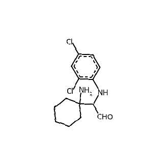 NC1(C(C=O)Nc2ccc(Cl)cc2Cl)CCCCC1